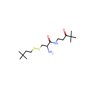 CC(C)(C)CCSSCC(N)C(=O)NCCC(=O)C(C)(C)C